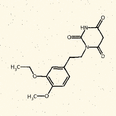 CCOc1cc(CCN2C(=O)CC(=O)NC2=O)ccc1OC